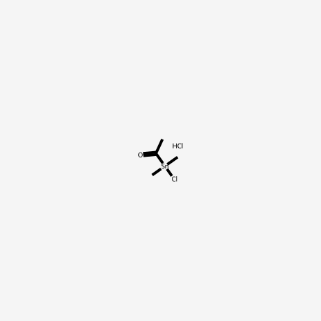 C[C](=O)[Sn]([CH3])([CH3])[Cl].Cl